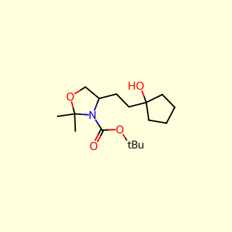 CC(C)(C)OC(=O)N1C(CCC2(O)CCCC2)COC1(C)C